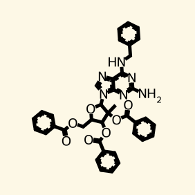 CC1(OC(=O)c2ccccc2)C(OC(=O)c2ccccc2)C(COC(=O)c2ccccc2)OC1n1cnc2c(NCc3ccccc3)nc(N)nc21